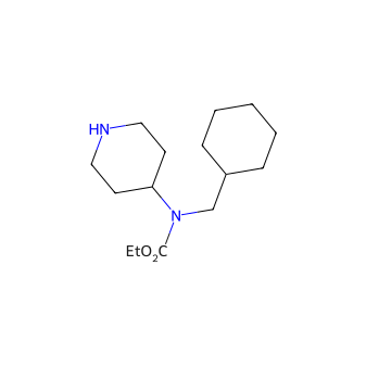 CCOC(=O)N(CC1CCCCC1)C1CCNCC1